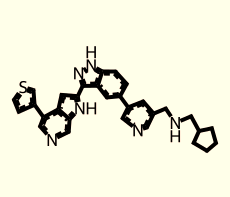 c1cc(-c2cncc3[nH]c(-c4n[nH]c5ccc(-c6cncc(CNCC7CCCC7)c6)cc45)cc23)cs1